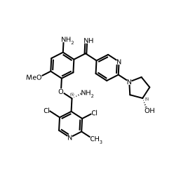 COc1cc(N)c(C(=N)c2ccc(N3CC[C@H](O)C3)nc2)cc1O[C@H](N)c1c(Cl)cnc(C)c1Cl